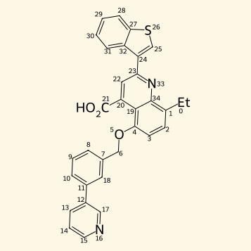 CCc1ccc(OCc2cccc(-c3cccnc3)c2)c2c(C(=O)O)cc(-c3csc4ccccc34)nc12